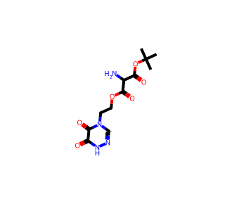 CC(C)(C)OC(=O)C(N)C(=O)OCCn1[c]n[nH]c(=O)c1=O